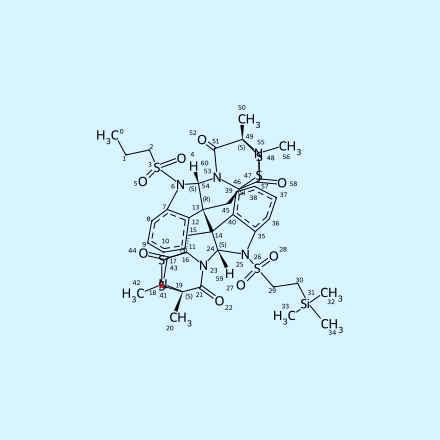 CCCS(=O)(=O)N1c2ccccc2[C@@]2(C34C[C@@]56SS[C@@](C)(C(=O)N5[C@H]3N(S(=O)(=O)CC[Si](C)(C)C)c3ccccc34)N(C)C6=O)C[C@@]34SS[C@@](C)(C(=O)N3[C@@H]12)N(C)C4=O